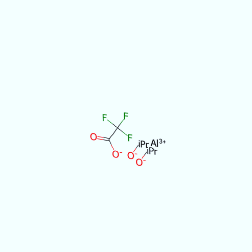 CC(C)[O-].CC(C)[O-].O=C([O-])C(F)(F)F.[Al+3]